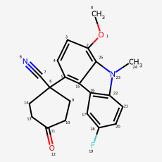 COc1ccc(C2(C#N)CCC(=O)CC2)c2c3cc(F)ccc3n(C)c12